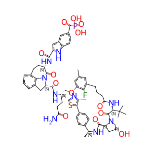 Cc1cc(CCCC(=O)N[C@H](C(=O)N2C[C@H](O)C[C@H]2C(=O)N[C@@H](C)c2ccc(-c3scnc3C)cc2)C(C)(C)C)c(F)c(OC[C@H](CCC(N)=O)NC(=O)[C@@H]2Cc3cccc4c3N2C(=O)[C@@H](NC(=O)c2cc3cc(C(=O)P(=O)(O)O)ccc3[nH]2)CC4)c1